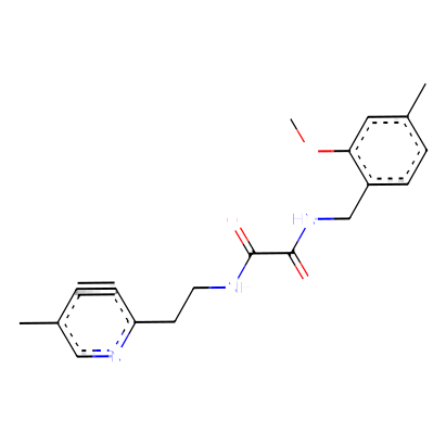 COc1cc(C)ccc1CNC(=O)C(=O)NCCc1c#cc(C)cn1